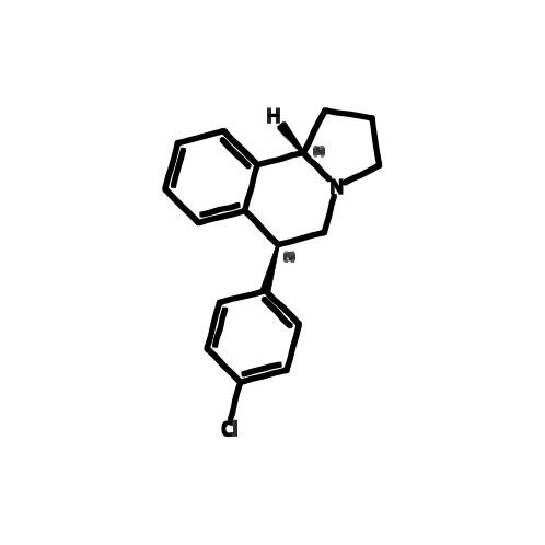 Clc1ccc([C@@H]2CN3CCC[C@H]3c3ccccc32)cc1